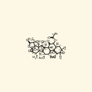 CC(=O)O[C@H]1[C@H]2[C@@H](C(=O)C(OC(=O)C(C)C)[C@H]3C[C@@H]4O[C@@H]4[C@H](OC(C)=O)[C@]23C)[C@@H]2[C@@H](O)[C@@H]3[C@H]([C@H](C)[C@H]4O[C@]45OC(=O)[C@@](C)(O)[C@]35C)[C@@]2(C)[C@H]1OC(C)=O